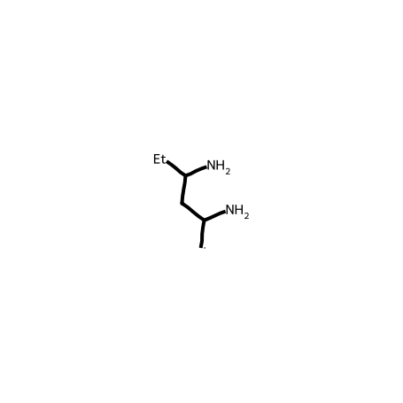 [CH2]C(N)CC(N)CC